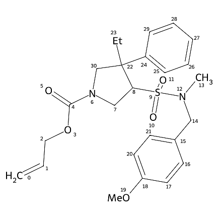 C=CCOC(=O)N1CC(S(=O)(=O)N(C)Cc2ccc(OC)cc2)C(CC)(c2ccccc2)C1